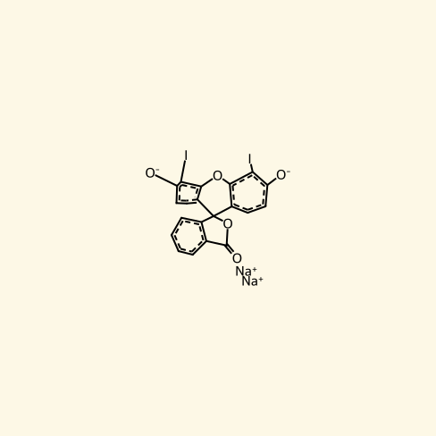 O=C1OC2(c3ccccc31)c1ccc([O-])c(I)c1Oc1c2ccc([O-])c1I.[Na+].[Na+]